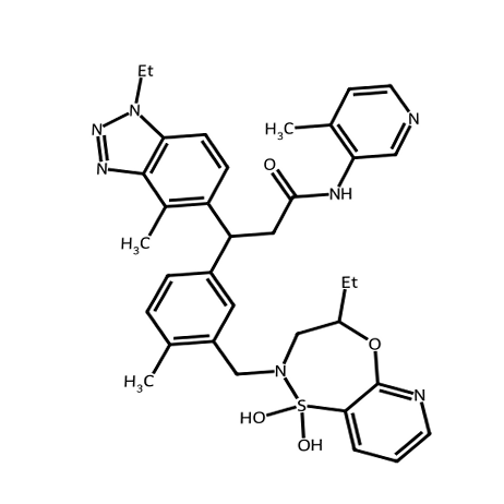 CCC1CN(Cc2cc(C(CC(=O)Nc3cnccc3C)c3ccc4c(nnn4CC)c3C)ccc2C)S(O)(O)c2cccnc2O1